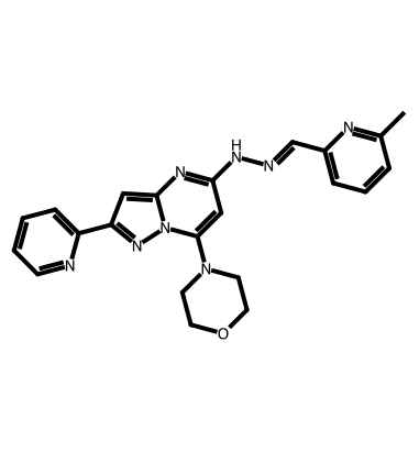 Cc1cccc(C=NNc2cc(N3CCOCC3)n3nc(-c4ccccn4)cc3n2)n1